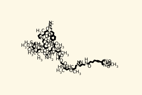 CC[C@H](C)[C@@H]([C@@H](CC(=O)N1CCC[C@H]1[C@H](OC)[C@@H](C)C(=O)N[C@H](CN=[N+]=[N-])Cc1ccc(NC(=O)[C@H](CCCNC(N)=O)NC(=O)[C@@H](NC(=O)COCC(=O)NC(C)(C)CCOC(C)(C)CCn2cc(CNC(=O)CCCC#Cc3cnc(S(C)(=O)=O)nc3)nn2)C(C)C)cc1)OC)N(C)C(=O)[C@@H](NC(=O)[C@H](C(C)C)N(C)C)C(C)C